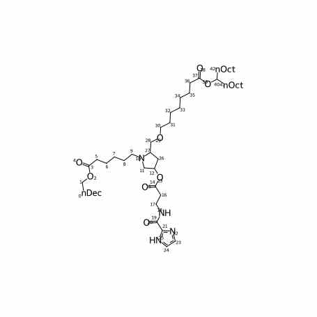 CCCCCCCCCCCOC(=O)CCCCCN1CC(OC(=O)CCNC(=O)c2ncc[nH]2)CC1COCCCCCCCC(=O)OC(CCCCCCCC)CCCCCCCC